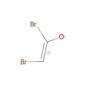 [O]/C(Br)=C/Br